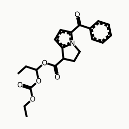 CCOC(=O)OC(CC)OC(=O)C1CCn2c(C(=O)c3ccccc3)ccc21